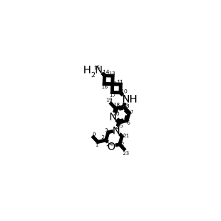 CCC1CN(c2ccc(NC3CC4(CC(N)C4)C3)c(C)n2)CC(C)O1